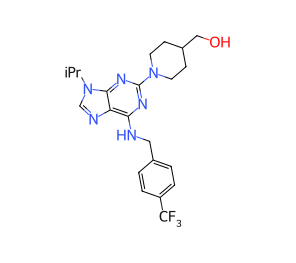 CC(C)n1cnc2c(NCc3ccc(C(F)(F)F)cc3)nc(N3CCC(CO)CC3)nc21